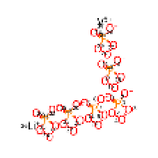 O=P1([O-])OOO1.O=P1([O-])OOO1.O=P1([O-])OOO1.O=P1([O-])OOO1.O=P1([O-])OOO1.O=P1([O-])OOO1.[Li+].[V+5]